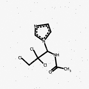 CC(=O)NC(n1ccnc1)C(Cl)(Cl)CCl